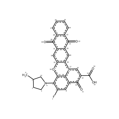 CC1CCN(c2c(F)cc3c(=O)c(C(=O)O)cn4c5cc6c(=O)c7ccccc7c(=O)c6cc5oc2c34)C1